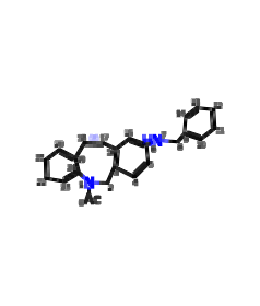 CC(=O)N1Cc2ccc(NCc3ccccc3)cc2/C=C\c2ccccc21